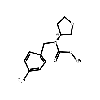 CC(C)(C)OC(=O)N(Cc1ccc([N+](=O)[O-])cc1)[C@H]1CCOC1